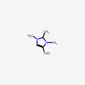 CC1N(C)C=C(C=O)N1C